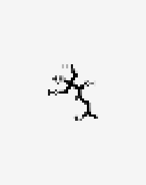 CC(O)CNC(O)C(N)(CO)CO